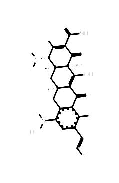 CC(=O)/C=C/c1cc(N(C)C)c2c(c1O)C(=O)C1=C(O)[C@]3(O)C(=O)C(C(N)=O)=C(O)[C@@H](N(C)C)[C@@H]3C[C@@H]1C2